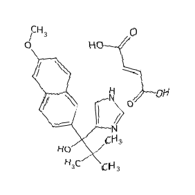 COc1ccc2cc(C(O)(c3c[nH]cn3)C(C)(C)C)ccc2c1.O=C(O)C=CC(=O)O